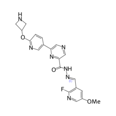 COc1cnc(F)c(/C=N/NC(=O)c2cncc(-c3ccc(OC4CNC4)nc3)n2)c1